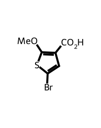 COc1sc(Br)cc1C(=O)O